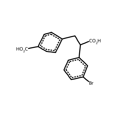 O=C(O)c1ccc(CC(C(=O)O)c2cccc(Br)c2)cc1